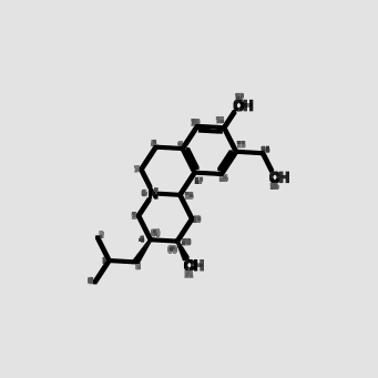 CC(C)C[C@H]1CN2CCc3cc(O)c(CO)cc3C2C[C@H]1O